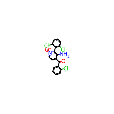 Nc1c(C(=O)c2ccccc2Cl)cc[n+]([O-])c1-c1c(Cl)cccc1Cl